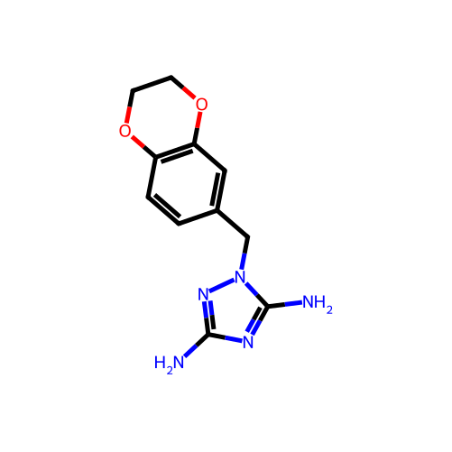 Nc1nc(N)n(Cc2ccc3c(c2)OCCO3)n1